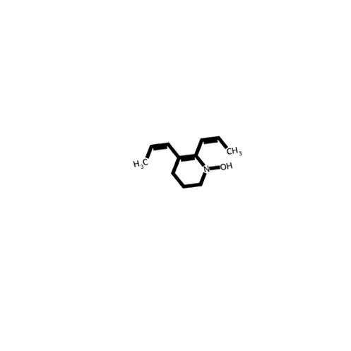 C/C=C\C1=C(/C=C\C)N(O)CCC1